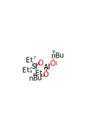 CCCC[O][Al]([O]CCCC)[O][Si](CC)(CC)CC